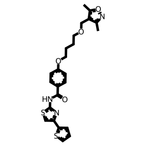 Cc1noc(C)c1COCCCCOc1ccc(C(=O)Nc2nc(-c3cccs3)cs2)cc1